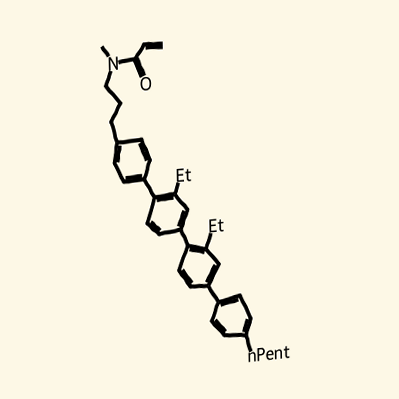 C=CC(=O)N(C)CCCc1ccc(-c2ccc(-c3ccc(-c4ccc(CCCCC)cc4)cc3CC)cc2CC)cc1